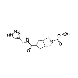 CC(C)(C)OC(=O)N1CC2CC(C(=O)NCc3c[nH]nn3)CC2C1